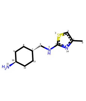 Cc1csc(NC[C@H]2CC[C@H](N)CC2)n1